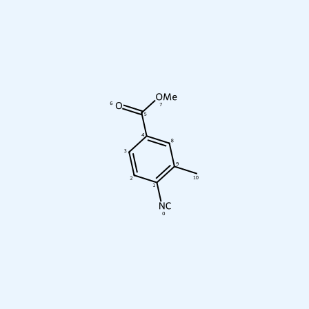 [C-]#[N+]c1ccc(C(=O)OC)cc1C